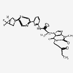 CCC(=O)Cn1c(=O)c2c(ncn2[C@@H](C)C(=O)Nc2cccc(-c3cnc(N4CC5[C@H](C4)C5(F)F)cn3)n2)n(C)c1=O